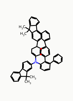 CC1(C)c2ccccc2-c2ccc(C3C=CC(N(c4ccc5c(c4)C(C)(C)c4ccccc4-5)c4cccc(-c5ccccc5)c4-c4ccc(-c5ccccc5)cc4)=CC3)cc21